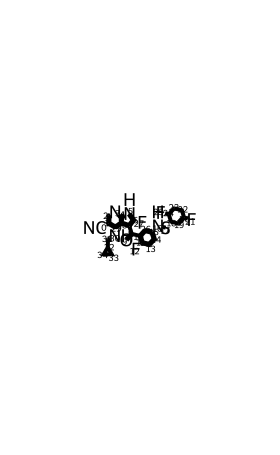 N#Cc1cnc2[nH]cc(C(=O)c3c(F)ccc(NSC4C=C(F)CCC4F)c3F)c2c1NCC1CC1